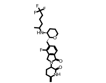 C=C1CCC(N2Cc3c(ccc(C[C@H]4OCCC[C@@H]4NC(C)CCCC(F)(F)F)c3F)C2=O)C(=O)N1